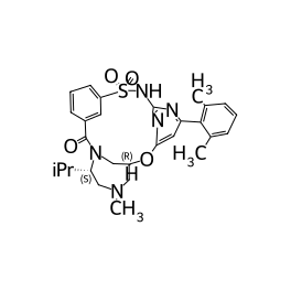 Cc1cccc(C)c1-c1cc2nc(n1)NS(=O)(=O)c1cccc(c1)C(=O)N1C[C@@H](CN(C)C[C@@H]1C(C)C)O2